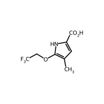 Cc1cc(C(=O)O)[nH]c1OCC(F)(F)F